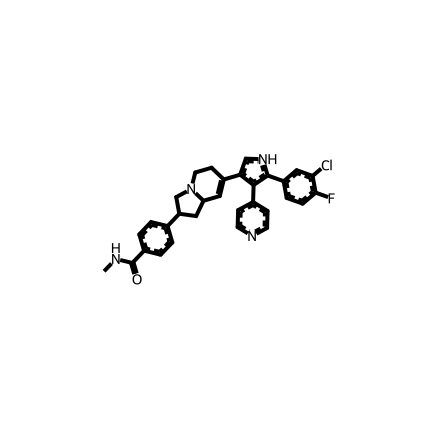 CNC(=O)c1ccc(C2CC3C=C(c4c[nH]c(-c5ccc(F)c(Cl)c5)c4-c4ccncc4)CCN3C2)cc1